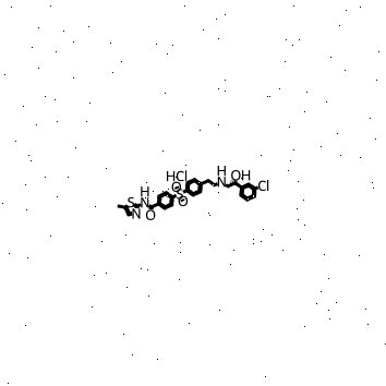 Cc1cnc(NC(=O)c2ccc(S(=O)(=O)c3ccc(CCNC[C@@H](O)c4cccc(Cl)c4)cc3)cc2)s1.Cl